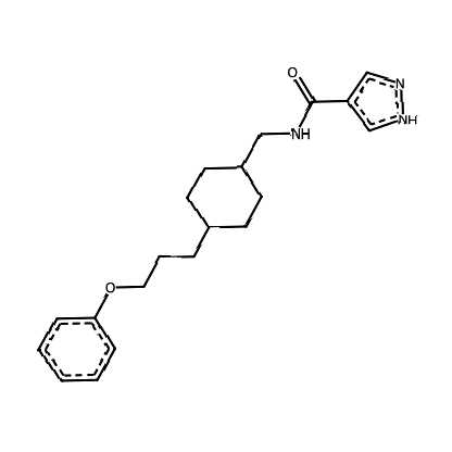 O=C(NCC1CCC(CCCOc2ccccc2)CC1)c1cn[nH]c1